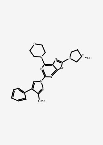 COc1nn(-c2nc(N3CCOCC3)c3nc(N4CC[C@H](O)C4)[nH]c3n2)cc1-c1ccccc1